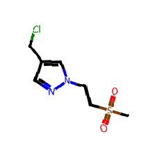 CS(=O)(=O)CCn1cc(CCl)cn1